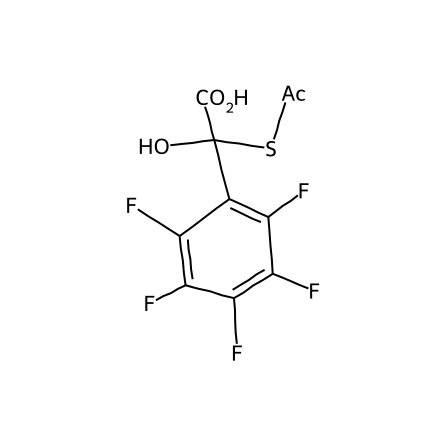 CC(=O)SC(O)(C(=O)O)c1c(F)c(F)c(F)c(F)c1F